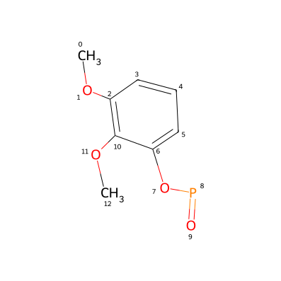 COc1cccc(OP=O)c1OC